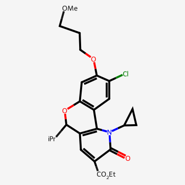 CCOC(=O)c1cc2c(n(C3CC3)c1=O)-c1cc(Cl)c(OCCCOC)cc1OC2C(C)C